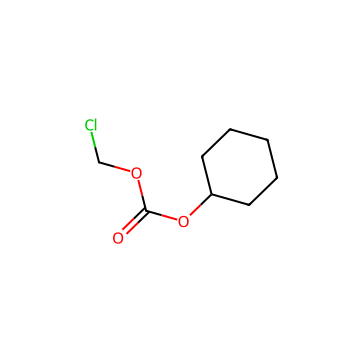 O=C(OCCl)OC1CCCCC1